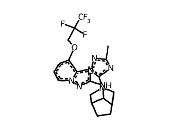 Cc1noc(N2CC3CCC(C2)C3Nc2nc3c(OCC(F)(F)C(F)(F)F)cccn3n2)n1